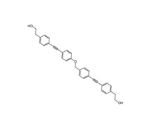 OCCc1ccc(C#Cc2ccc(COc3ccc(C#Cc4ccc(CCO)cc4)cc3)cc2)cc1